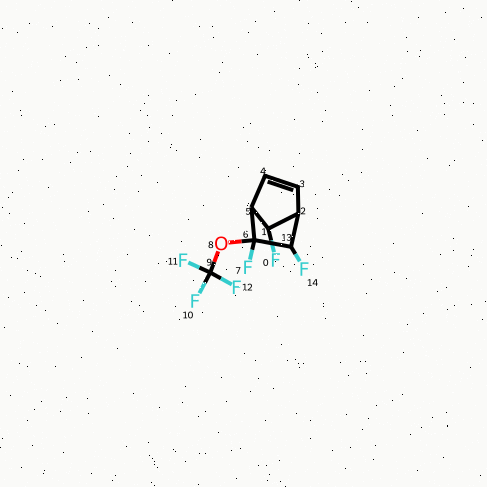 FC1C2C=CC1C(F)(OC(F)(F)F)C2F